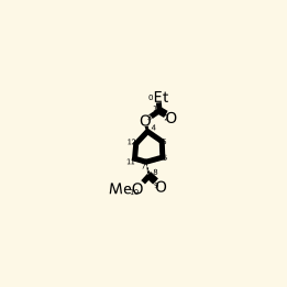 CCC(=O)O[C@H]1CC[C@H](C(=O)OC)CC1